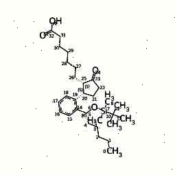 CCCCC[C@@H](O[Si](C)(C)C(C)(C)C)c1ccccc1[C@H]1CCC(=O)[C@H]1CCCCCCC(=O)O